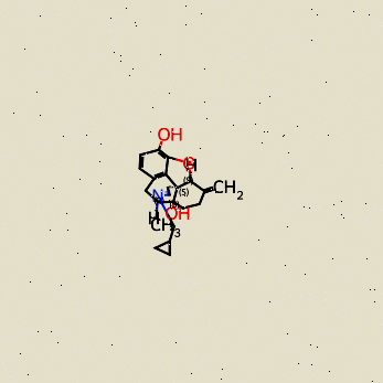 C=C1CC[C@@]2(O)[C@H]3Cc4ccc(O)c5c4[C@@]2(CC[N+]3(C)CC2CC2)[C@H]1O5